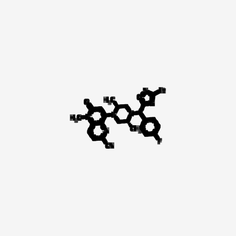 CCc1noc(C(c2ccc(F)cc2)N2C[C@H](C)N(c3cc(=O)n(C)c4ccc(C#N)nc34)C[C@H]2C)n1